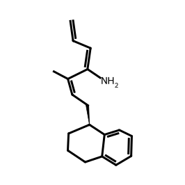 C=C/C=C(N)\C(C)=C/C[C@@H]1CCCc2ccccc21